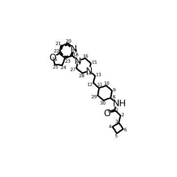 O=C(CC1CCC1)NC1CCC(CCN2CCN(c3nccc4c3CCO4)CC2)CC1